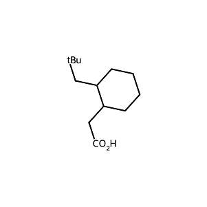 CC(C)(C)CC1CCCCC1CC(=O)O